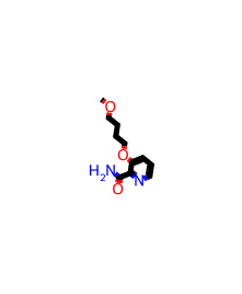 COCCCCOc1cccnc1C(N)=O